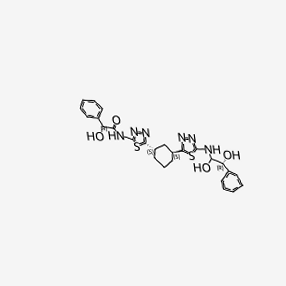 O=C(Nc1nnc([C@H]2CCC[C@H](c3nnc(NC(O)[C@H](O)c4ccccc4)s3)C2)s1)[C@H](O)c1ccccc1